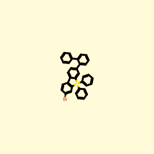 Brc1ccc2c(c1)S(c1ccccc1)(c1ccccc1)c1cc(-c3ccccc3-c3ccccc3)ccc1-2